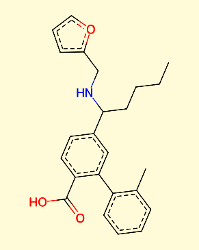 CCCCC(NCc1ccco1)c1ccc(C(=O)O)c(-c2ccccc2C)c1